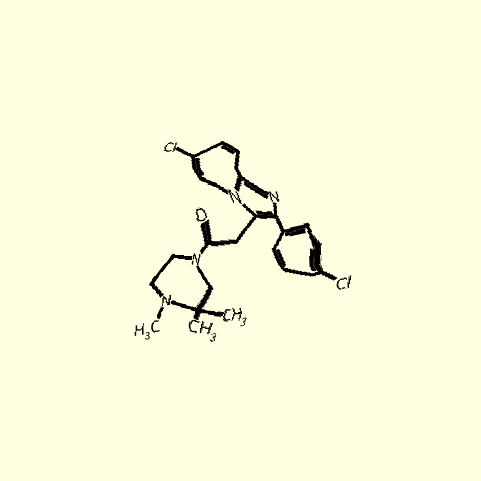 CN1CCN(C(=O)Cc2c(-c3ccc(Cl)cc3)nc3ccc(Cl)cn23)CC1(C)C